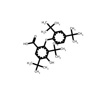 CC(C)(C)c1ccc(Oc2c(C(=O)O)cc(C(C)(C)C)c(O)c2C(C)(C)C)c(C(C)(C)C)c1